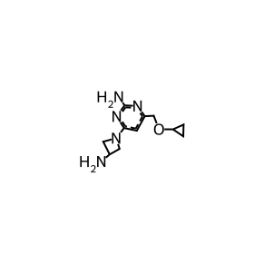 Nc1nc(COC2CC2)cc(N2CC(N)C2)n1